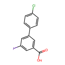 O=C(O)c1cc(I)cc(-c2ccc(Cl)cc2)c1